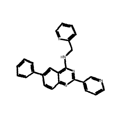 c1ccc(-c2ccc3nc(-c4cccnc4)nc(NCc4ccccn4)c3c2)cc1